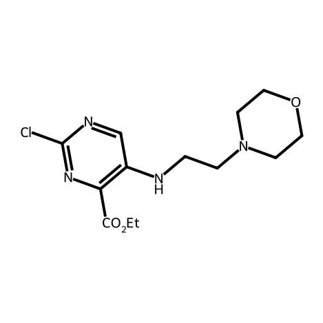 CCOC(=O)c1nc(Cl)ncc1NCCN1CCOCC1